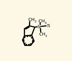 CC1=Cc2ccccc2C1[Si](C)(C)[Ti]